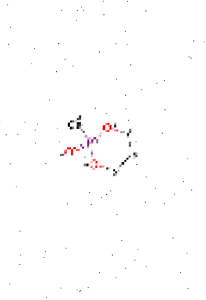 O=[P]1([Ce])OCCCO1